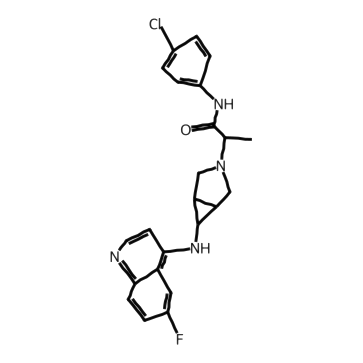 CC(C(=O)Nc1ccc(Cl)cc1)N1CC2C(C1)C2Nc1ccnc2ccc(F)cc12